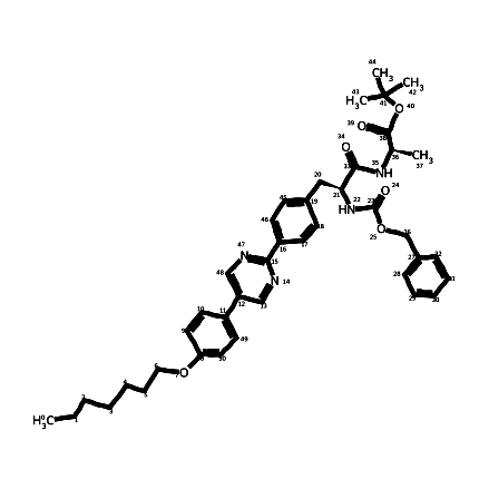 CCCCCCCOc1ccc(-c2cnc(-c3ccc(C[C@H](NC(=O)OCc4ccccc4)C(=O)N[C@H](C)C(=O)OC(C)(C)C)cc3)nc2)cc1